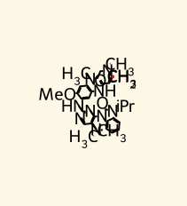 C=CC(=O)Nc1cc(Nc2ncc(N(C)C)c(-n3c(=O)n(C(C)C)c4ccccc43)n2)c(OC)cc1N(C)CCN(C)C